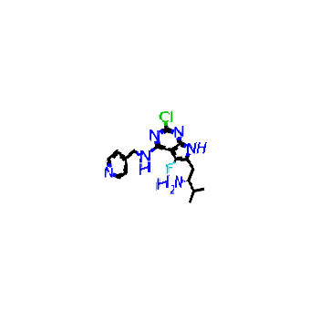 CC(C)[C@H](N)Cc1[nH]c2nc(Cl)nc(NCc3ccncc3)c2c1F